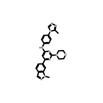 Cc1nncn1-c1ccc(Nc2cc(-c3ccc4cnn(C)c4c3)nc(N3CCOCC3)n2)cc1